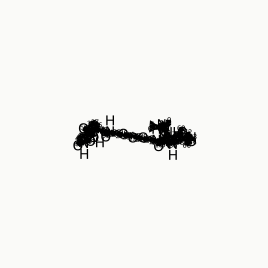 CCn1nc(C2CC2)cc1Nc1nc(C(=O)NCCCOCCOCCOCCCNC(=O)CNc2cccc3c2C(=O)N(C2CCC(=O)NC2=O)C3=O)nc2[nH]c3cc(-c4c(C)noc4C)c(OC)cc3c12